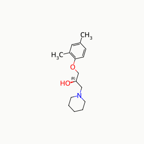 Cc1ccc(OC[C@H](O)CN2CCCCC2)c(C)c1